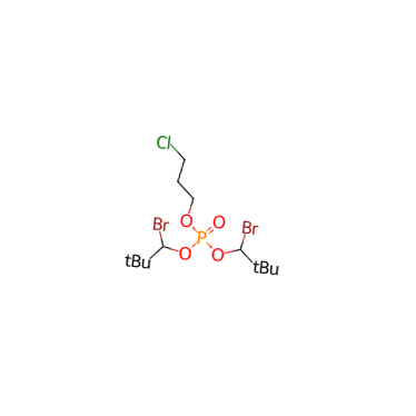 CC(C)(C)C(Br)OP(=O)(OCCCCl)OC(Br)C(C)(C)C